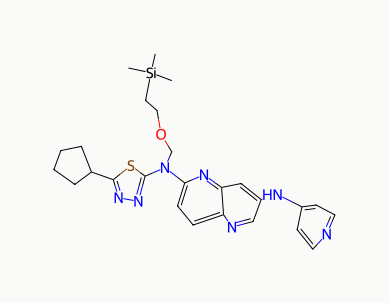 C[Si](C)(C)CCOCN(c1ccc2ncc(Nc3ccncc3)cc2n1)c1nnc(C2CCCC2)s1